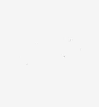 CC1=C(C)[C@@]2(Oc3c(ccc(O)c3CCC[C@@H](C)CSI)[C@@H]2O)N(C)C1=O